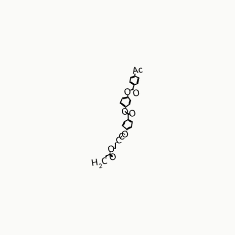 C=CC(=O)OCCCCOc1ccc(C(=O)Oc2ccc(OC(=O)c3ccc(C(C)=O)cc3)cc2)cc1